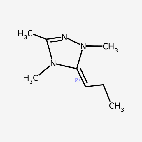 CC/C=C1\N(C)N=C(C)N1C